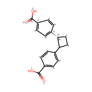 O=C(O)c1ccc(C2CC[C@H]2c2ccc(C(=O)O)cc2)cc1